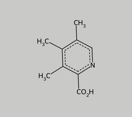 Cc1cnc(C(=O)O)c(C)c1C